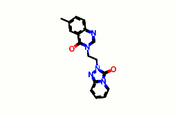 Cc1ccc2ncn(CCn3nc4ccccn4c3=O)c(=O)c2c1